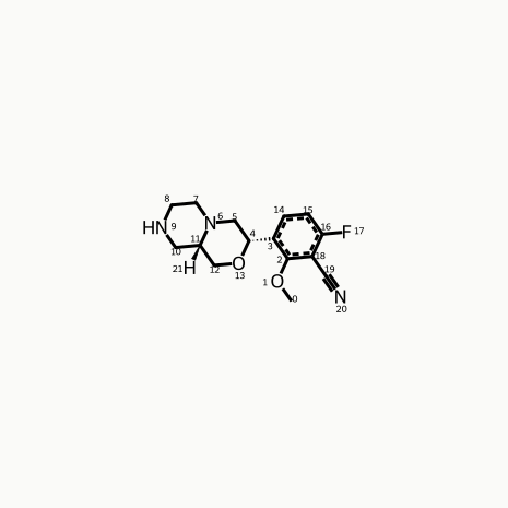 COc1c([C@H]2CN3CCNC[C@H]3CO2)ccc(F)c1C#N